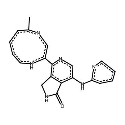 Cc1cccc[nH]c(-c2ncc(Nc3ccccn3)c3c2CNC3=O)cn1